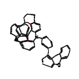 c1cc(-c2cccc3oc4ccccc4c23)cc(N(c2ccccc2-c2cccc3cccc(C4CCCCC4)c23)c2cccc3oc4ccccc4c23)c1